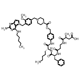 CCCCCNc1nc(N)nc2ccn(Cc3ccc(CN4CCN(C(=O)OCc5ccc(NC(=O)[C@@H](CCCCN)NC(=O)[C@H](Cc6ccccc6)NC(=O)CCNC(=O)C(C)CC(=O)O)cc5)CC4)cc3OC)c12